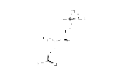 CC(C)(C)COC(=O)C(N)CCC(=O)O